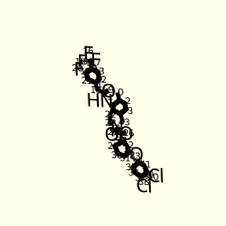 Cc1ccc2c(c1NC(=O)Cc1ccc(C(F)(F)F)c(F)c1)CCN(S(=O)(=O)c1cccc(Oc3ccc(Cl)c(Cl)c3)c1)C2